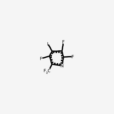 Fc1nc(C(F)(F)F)c(F)c(I)c1F